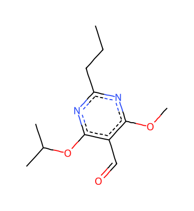 CCCc1nc(OC)c(C=O)c(OC(C)C)n1